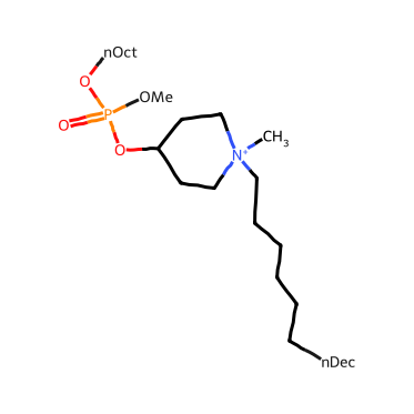 CCCCCCCCCCCCCCCC[N+]1(C)CCC(OP(=O)(OC)OCCCCCCCC)CC1